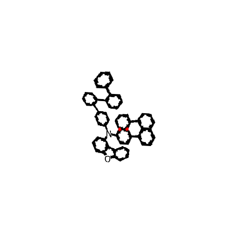 c1ccc(-c2ccccc2-c2ccccc2-c2ccc(N(c3ccc(-c4cccc5cccc(-c6ccccc6)c45)cc3)c3cccc4oc5ccccc5c34)cc2)cc1